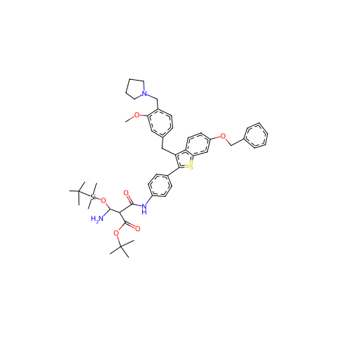 COc1cc(Cc2c(-c3ccc(NC(=O)C(C(=O)OC(C)(C)C)C(N)O[Si](C)(C)C(C)(C)C)cc3)sc3cc(OCc4ccccc4)ccc23)ccc1CN1CCCC1